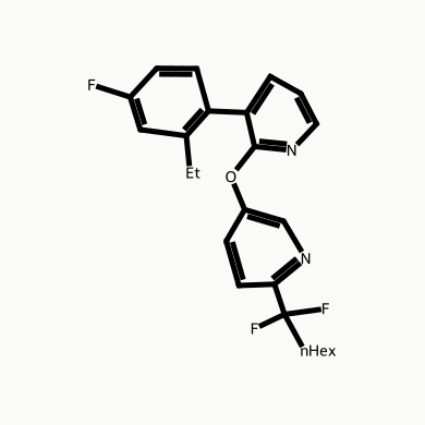 CCCCCCC(F)(F)c1ccc(Oc2ncccc2-c2ccc(F)cc2CC)cn1